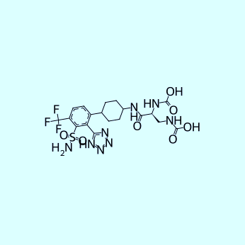 NS(=O)(=O)c1c(C(F)(F)F)ccc(C2CCC(NC(=O)[C@H](CNC(=O)O)NC(=O)O)CC2)c1-c1nnn[nH]1